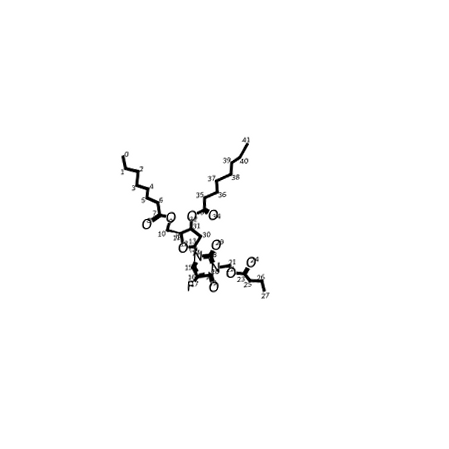 CCCCCCCC(=O)OC[C@@H]1O[C@H](n2cc(F)c(=O)n(COC(=O)CCC)c2=O)CC1OC(=O)CCCCCCC